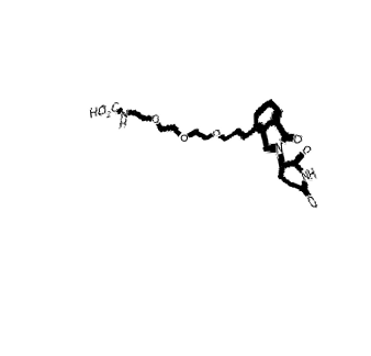 O=C(O)NCCOCCOCCOCCCc1cccc2c1CN(C1CCC(=O)NC1=O)C2=O